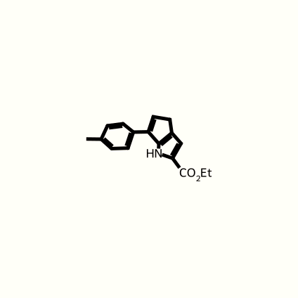 CCOC(=O)c1cc2c([nH]1)C(c1ccc(C)cc1)=CC2